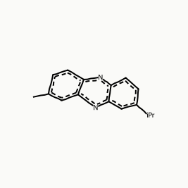 Cc1ccc2nc3ccc(C(C)C)cc3nc2c1